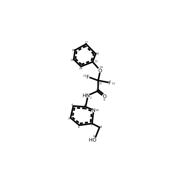 O=C(Nc1cccc(CO)n1)C(F)(F)Oc1ccccc1